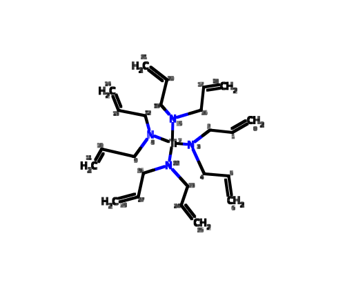 C=CC[N](CC=C)[Ti]([N](CC=C)CC=C)([N](CC=C)CC=C)[N](CC=C)CC=C